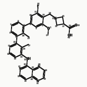 COc1cc(-c2cccc(-c3cccc(Nc4nccc5nccnc45)c3C)c2C)cc(F)c1CN1CC(C(=O)O)C1